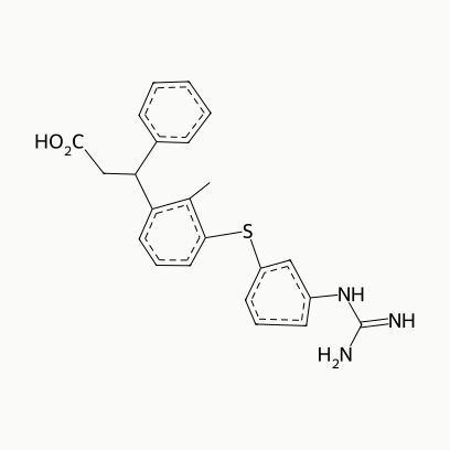 Cc1c(Sc2cccc(NC(=N)N)c2)cccc1C(CC(=O)O)c1ccccc1